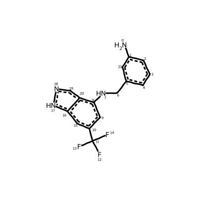 Nc1cccc(CNc2cc(C(F)(F)F)cc3[nH]ncc23)c1